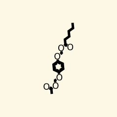 CCCCCC(=O)OCOc1ccc(OCOC(C)=O)cc1